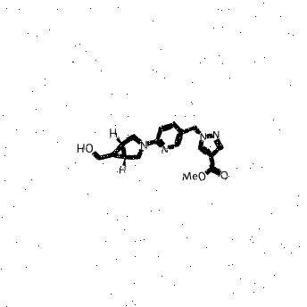 COC(=O)c1cnn(Cc2ccc(N3C[C@@H]4C(CO)[C@@H]4C3)nc2)c1